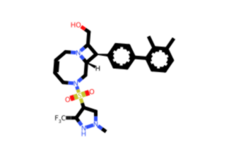 Cc1cccc(-c2ccc([C@@H]3C(CO)N4C/C=C\CN(S(=O)(=O)C5CN(C)NC5C(F)(F)F)C[C@@H]34)cc2)c1C